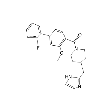 COc1cc(-c2ccccc2F)ccc1C(=O)N1CCC(Cc2ncc[nH]2)CC1